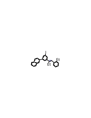 CC/C(=C\c1ccccc1CC)c1cc(I)cc(-c2ccc3ccccc3c2)c1